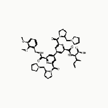 CCC(C)C(NC(=O)c1cc(-c2cc(C(=O)NCc3cccc(OC)c3OC)nc(C(=O)N3CCCC3CN3CCCC3)c2)cc(C(=O)N2CCCC2CN2CCCC2)n1)C(=O)O